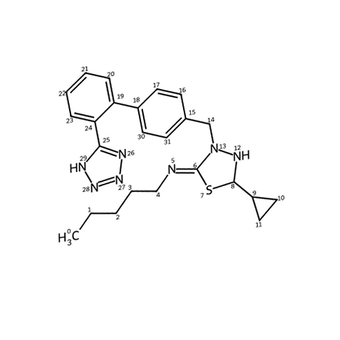 CCCCCN=C1SC(C2CC2)NN1Cc1ccc(-c2ccccc2-c2nnn[nH]2)cc1